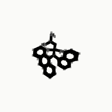 CN(C)CC(C)(C)N(c1cccc2ccccc12)c1c2ccccc2cc2ccccc12